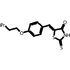 CC(C)CCOc1ccc(/C=C2\SC(=S)NC2=O)cc1